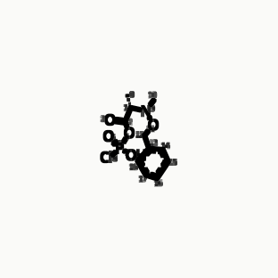 C[C@@H](C(=O)OP(=O)(O)Cl)N(C)OCc1ccccc1